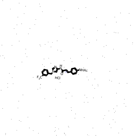 CC(=O)Nc1ccc(/C=C/C(=O)Nc2cn(Cc3cccc(C(F)(F)F)c3)cn2)cc1.Cl